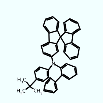 CC(C)(C)c1ccc(N(c2ccc3c(c2)C2(c4ccccc4-c4ccccc42)c2ccccc2-3)c2ccccc2-c2ccccc2)cc1